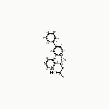 CC(O)CC(Oc1ccc(-c2ccccc2)cc1)c1ccncn1